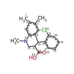 Cc1cc2c(cc1C)N(C)CC(C(=O)O)C2c1ccccc1Cl